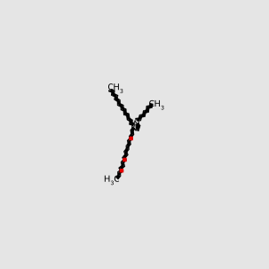 CCCCCCCCCCCCCCCCCCCN1C=CN(CCCCCCCCC)C1CCCCCCCCCCCCCCCC